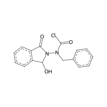 O=C(Cl)N(Cc1ccccc1)N1C(=O)c2ccccc2C1O